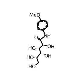 COc1ccc(NC(=O)[C@@H](O)[C@@H](O)[C@H](O)[C@@H](O)CO)cc1